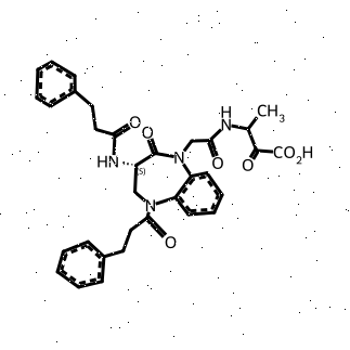 CC(NC(=O)CN1C(=O)[C@@H](NC(=O)CCc2ccccc2)CN(C(=O)CCc2ccccc2)c2ccccc21)C(=O)C(=O)O